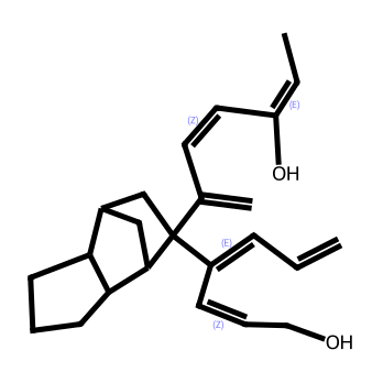 C=C/C=C(\C=C/CO)C1(C(=C)/C=C\C(O)=C/C)CC2CC1C1CCCC21